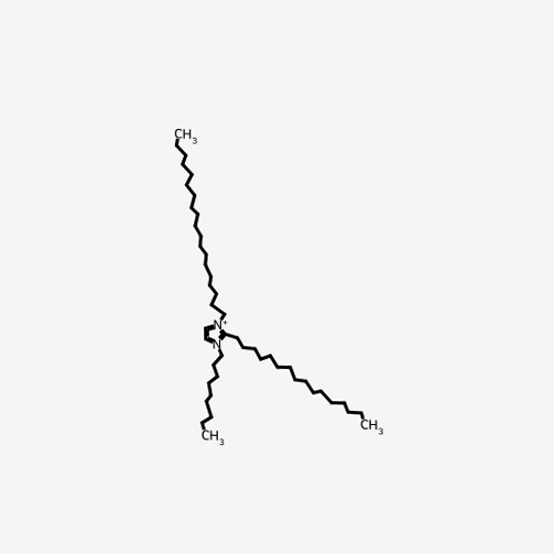 CCCCCCCCCCCCCCCCCCC[n+]1ccn(CCCCCCCCC)c1CCCCCCCCCCCCCCCC